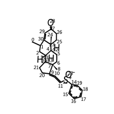 CC1C[C@@H]2[C@H](CC[C@]3(C)C(=C=C[S+]([O-])c4ccccc4)CC[C@@H]23)[C@@]2(C)CCC(=O)C=C12